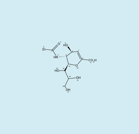 CCC(=O)N[C@@H]1[C@@H](O)C=C(C(=O)O)O[C@H]1C(O)C(O)CO